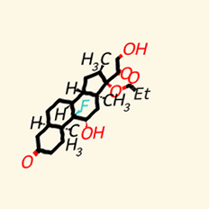 CCC(=O)O[C@]1(C(=O)CO)[C@H](C)C[C@H]2[C@@H]3CC[C@@H]4CC(=O)CC[C@]4(C)[C@@]3(F)[C@@H](O)C[C@@]21C